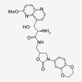 COc1ccc2nccc([C@@H](O)[C@@H](N)C(=O)NCC3CN(c4ccc5c(c4)OCCO5)C(=O)O3)c2n1